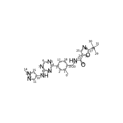 Cc1cc(-c2ncnc(Nc3cnn(C)c3)n2)ccc1CNC(=O)c1cnc(C(C)(C)C)o1